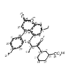 Cc1cc(O[C@H](C)C(=O)N2CCCC(C(=O)O)C2)c2c(-c3ccc(F)cc3)cc(=O)oc2c1